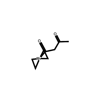 CC(=O)C[C](=O)[Rh]12([CH2][CH2]1)[CH2][CH2]2